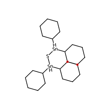 C1CC[CH]([SnH]([S][SnH]([CH]2CCCCC2)[CH]2CCCCC2)[CH]2CCCCC2)CC1